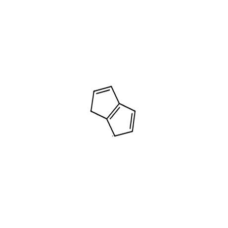 [CH]1C=CC2=C1CC=C2